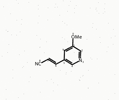 COc1cncc(C=CC#N)c1